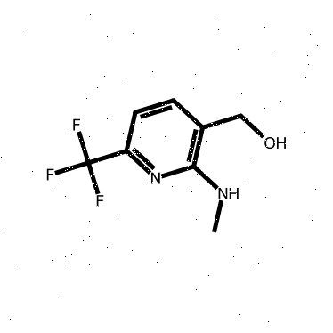 CNc1nc(C(F)(F)F)ccc1CO